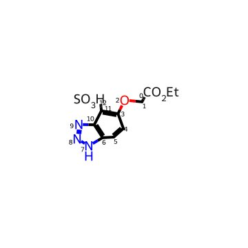 CCOC(=O)COc1ccc2[nH]nnc2c1S(=O)(=O)O